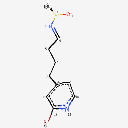 CC(C)(C)[S@@+]([O-])/N=C/CCCc1ccnc(Br)c1